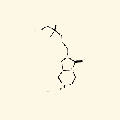 CC(C)(CO)CCCN1CC2CN(C(=O)O)CCN2C1=O